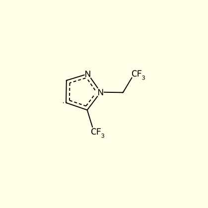 FC(F)(F)Cn1nc[c]c1C(F)(F)F